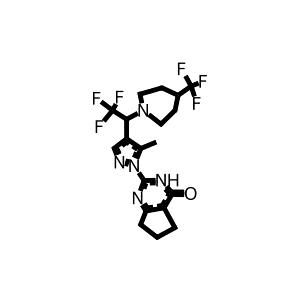 Cc1c(C(N2CCC(C(F)(F)F)CC2)C(F)(F)F)cnn1-c1nc2c(c(=O)[nH]1)CCC2